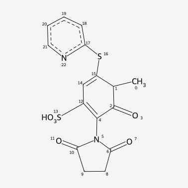 CC1C(=O)C(N2C(=O)CCC2=O)=C(S(=O)(=O)O)C=C1Sc1ccccn1